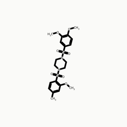 COc1ccc(S(=O)(=O)N2CCN(S(=O)(=O)c3ccc(C)cc3OC)CC2)cc1OC